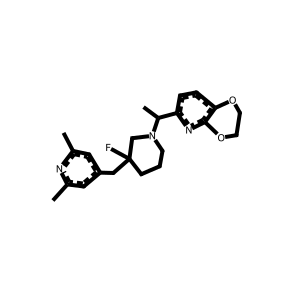 Cc1cc(CC2(F)CCCN(C(C)c3ccc4c(n3)OCCO4)C2)cc(C)n1